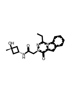 CCc1nn(CC(=O)N[C@H]2C[C@@](C)(O)C2)c(=O)c2cc3ccccc3n12